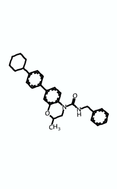 CC1CN(C(=O)NCc2ccccc2)c2ccc(-c3ccc(C4CCCCC4)cc3)cc2O1